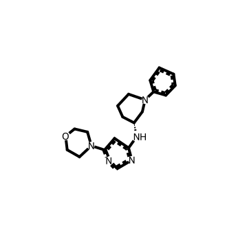 c1ccc(N2CCC[C@@H](Nc3cc(N4CCOCC4)ncn3)C2)cc1